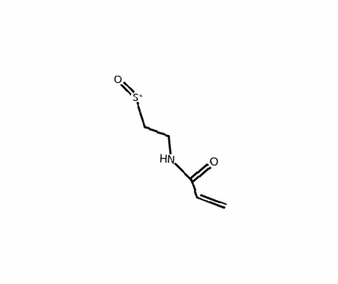 C=CC(=O)NCC[S+]=O